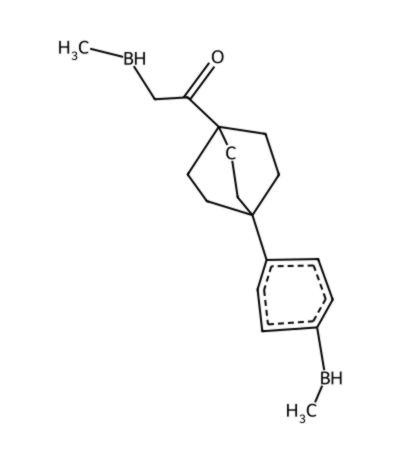 CBCC(=O)C12CCC(c3ccc(BC)cc3)(CC1)CC2